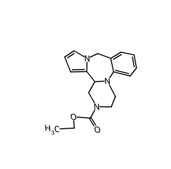 CCOC(=O)N1CCN2c3ccccc3Cn3cccc3C2C1